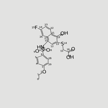 CCOc1ccc(S(=O)(=O)Nc2cc(SCC(=O)O)c(O)c3ccc(F)cc23)cc1